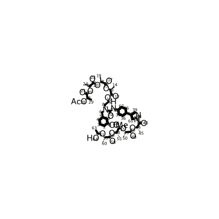 COc1cccc(CN(CCOC(=O)[C@H](C)OC(=O)[C@H](C)OC(=O)[C@H](C)OC(=O)[C@H](C)OC(C)=O)C(=O)Nc2ccc(-c3cnn(C(=O)[C@H](C)OC(=O)[C@H](C)OC(=O)[C@H](C)OC(=O)[C@H](C)OC(C)O)c3)cc2)c1